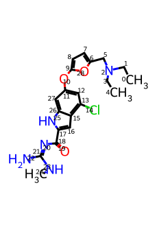 CCN(CC)Cc1ccc(Oc2cc(Cl)c3cc(C(=O)N=C(N)NC)[nH]c3c2)o1